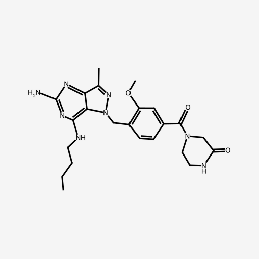 CCCCNc1nc(N)nc2c(C)nn(Cc3ccc(C(=O)N4CCNC(=O)C4)cc3OC)c12